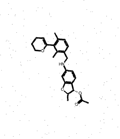 CC(=O)O[C@H]1c2ccc(NCc3ccc(C)c(C4=CCCCO4)c3C)cc2OC1C